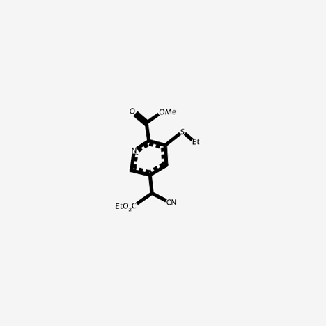 CCOC(=O)C(C#N)c1cnc(C(=O)OC)c(SCC)c1